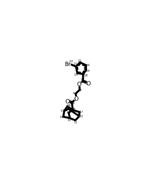 O=C(OCCOC(=O)C12CC3CC(CC(C3)C1)C2)c1cccc(Br)c1